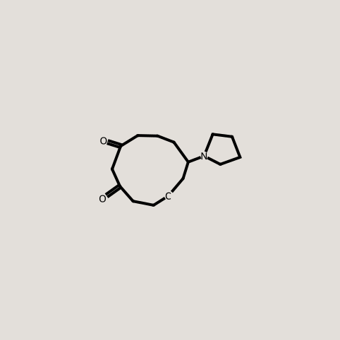 O=C1CCCCC(N2CCCC2)CCCC(=O)C1